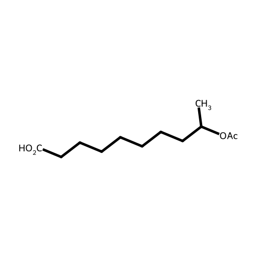 CC(=O)OC(C)CCCCCCCC(=O)O